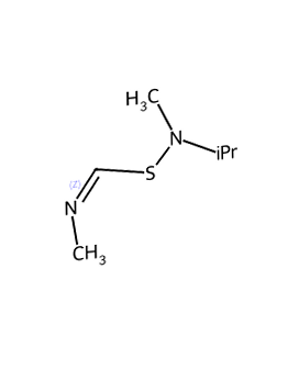 C/N=C\SN(C)C(C)C